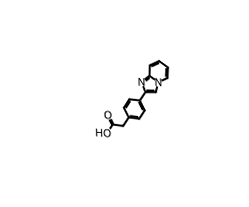 O=C(O)Cc1ccc(-c2cn3ccccc3n2)cc1